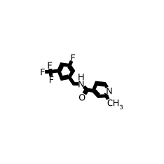 Cc1cc(C(=O)NCc2cc(F)cc(C(F)(F)F)c2)ccn1